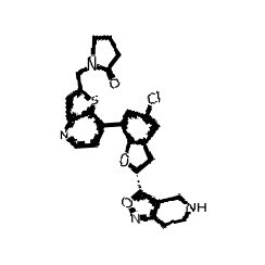 O=C1CCCN1Cc1cc2nccc(-c3cc(Cl)cc4c3O[C@@H](c3onc5c3CNCC5)C4)c2s1